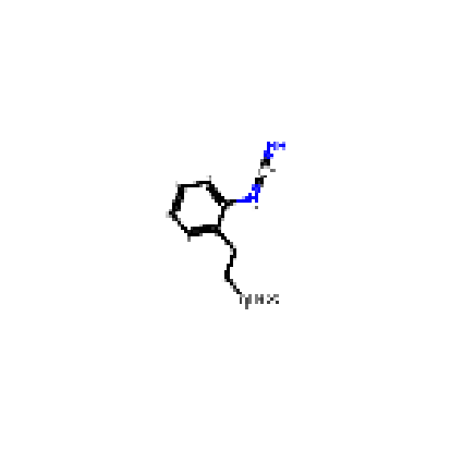 CCCCCCCCCc1ccccc1N=C=N